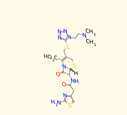 CN(C)CCn1nnnc1SCC1=C(C(=O)O)N2C(=O)C(NC(=O)Cc3csc(N)n3)[C@H]2SC1